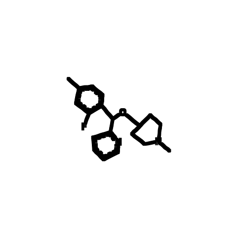 Cc1ccc(C(OC2CCN(C)CC2)c2ccccn2)c(F)c1